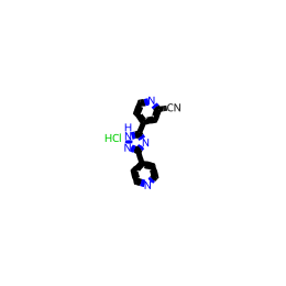 Cl.N#Cc1cc(-c2nc(-c3ccncc3)n[nH]2)ccn1